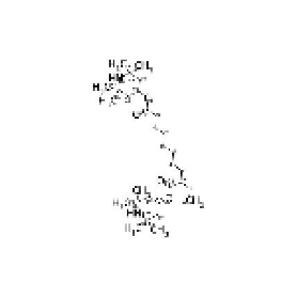 CCC(CCCCCCCC(=O)OC1CC(C)(C)NC(C)(C)C1)C(=O)OC1CC(C)(C)NC(C)(C)C1